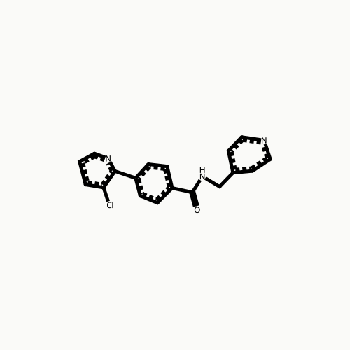 O=C(NCc1ccncc1)c1ccc(-c2ncccc2Cl)cc1